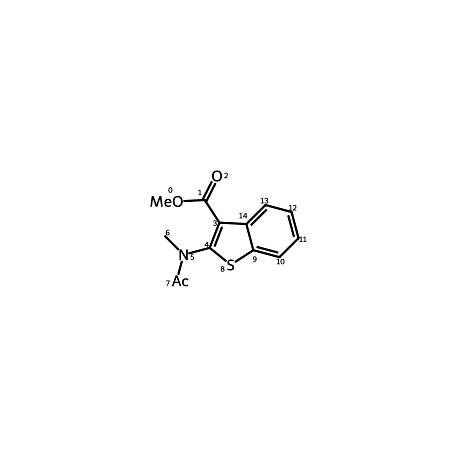 COC(=O)c1c(N(C)C(C)=O)sc2ccccc12